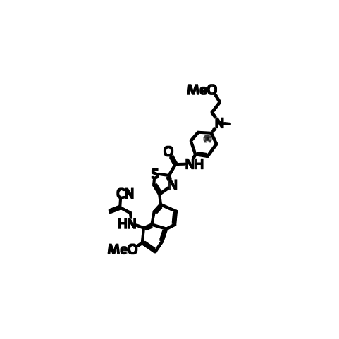 C=C(C#N)CNc1c(OC)ccc2ccc(-c3csc(C(=O)NC4=CC[C@H](N(C)CCOC)CC4)n3)cc12